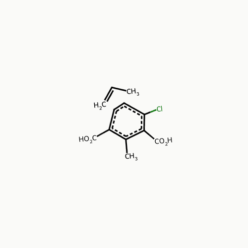 C=CC.Cc1c(C(=O)O)ccc(Cl)c1C(=O)O